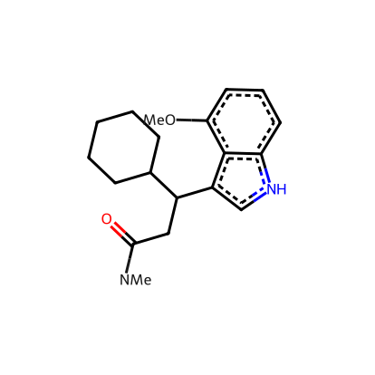 CNC(=O)CC(c1c[nH]c2cccc(OC)c12)C1CCCCC1